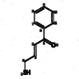 O=C(C=CCS)c1ccccc1